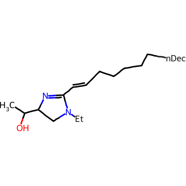 CCCCCCCCCCCCCCCC=CC1=NC(C(C)O)CN1CC